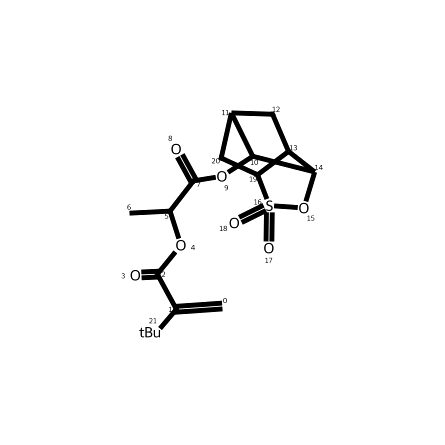 C=C(C(=O)OC(C)C(=O)OC1C2CC3C1OS(=O)(=O)C3C2)C(C)(C)C